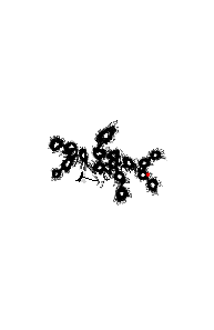 CC1(C)c2cc(Nc3cccc(-n4c5ccc(-c6ccccc6)cc5c5cc(-c6ccccc6)ccc54)c3)cc(-c3ccc(-c4ccccc4)cc3)c2-c2c1c(-c1ccc(-c3ccccc3)cc1)c(Nc1cccc(-n3c4ccc(-c5ccccc5)cc4c4cc(-c5ccccc5)ccc43)c1)c1ccccc21